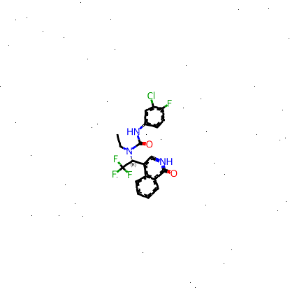 CCN(C(=O)Nc1ccc(F)c(Cl)c1)[C@H](c1c[nH]c(=O)c2ccccc12)C(F)(F)F